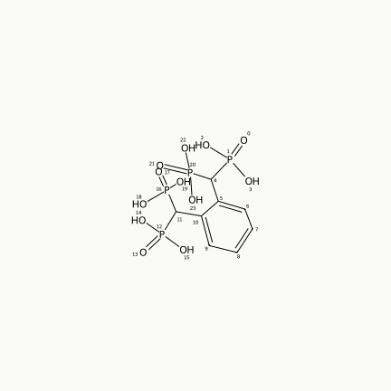 O=P(O)(O)C(c1ccccc1C(P(=O)(O)O)P(=O)(O)O)P(=O)(O)O